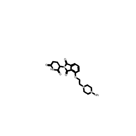 CCCN1CCN(CCOc2cccc3c2C(=O)N(C2CCC(=O)NC2=O)C3=O)CC1